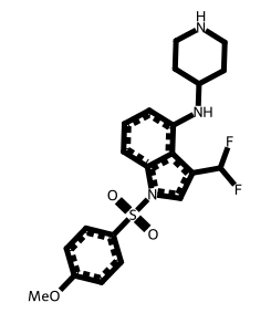 COc1ccc(S(=O)(=O)n2cc(C(F)F)c3c(NC4CCNCC4)cccc32)cc1